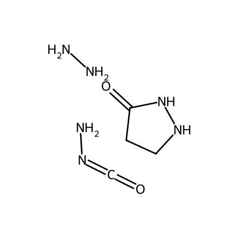 NN.NN=C=O.O=C1CCNN1